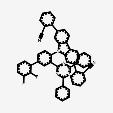 N#Cc1ccccc1-c1ccc2c3ccc(-c4ccccc4C#N)cc3n(-c3ccc(-c4cccc(F)c4F)cc3-c3nc(-c4ccccc4)nc(-c4ccccc4)n3)c2c1